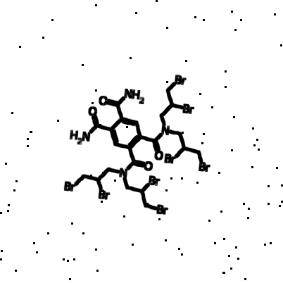 NC(=O)c1cc(C(=O)N(CC(Br)CBr)CC(Br)CBr)c(C(=O)N(CC(Br)CBr)CC(Br)CBr)cc1C(N)=O